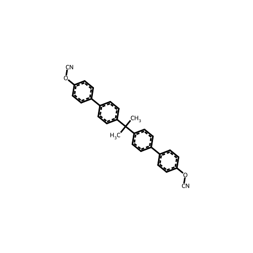 CC(C)(c1ccc(-c2ccc(OC#N)cc2)cc1)c1ccc(-c2ccc(OC#N)cc2)cc1